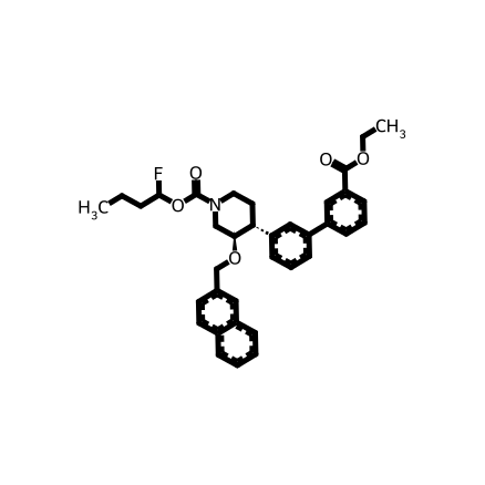 CCCC(F)OC(=O)N1CC[C@H](c2cccc(-c3cccc(C(=O)OCC)c3)c2)[C@@H](OCc2ccc3ccccc3c2)C1